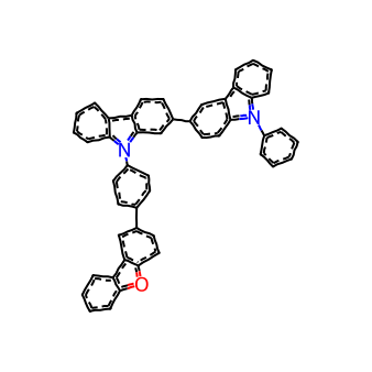 c1ccc(-n2c3ccccc3c3cc(-c4ccc5c6ccccc6n(-c6ccc(-c7ccc8oc9ccccc9c8c7)cc6)c5c4)ccc32)cc1